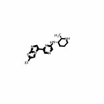 CCc1cn2c(-c3cncc(N[C@H]4CCCN[C@@H]4C)n3)cnc2s1